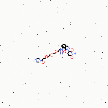 O=C1CCC(n2ncc3cccc(NCCOCCOCCOCCC(=O)N4CCNCC4)c3c2=O)C(=O)N1